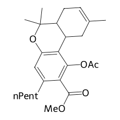 CCCCCc1cc2c(c(OC(C)=O)c1C(=O)OC)C1CC(C)=CCC1C(C)(C)O2